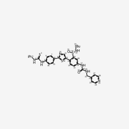 CC(C)NC(=S)Nc1ccc(-c2ncc(-c3ccc(NC(=O)NCc4ccncc4)cc3[S+]([O-])NC(C)(C)C)s2)cc1